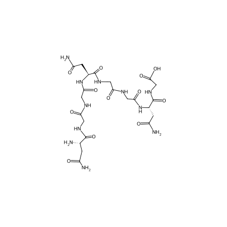 NC(=O)C[C@H](NC(=O)CNC(=O)CNC(=O)[C@H](CC(N)=O)NC(=O)CNC(=O)CNC(=O)[C@@H](N)CC(N)=O)C(=O)NCC(=O)O